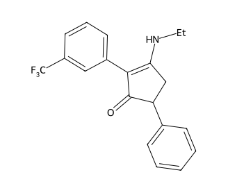 CCNC1=C(c2cccc(C(F)(F)F)c2)C(=O)C(c2ccccc2)C1